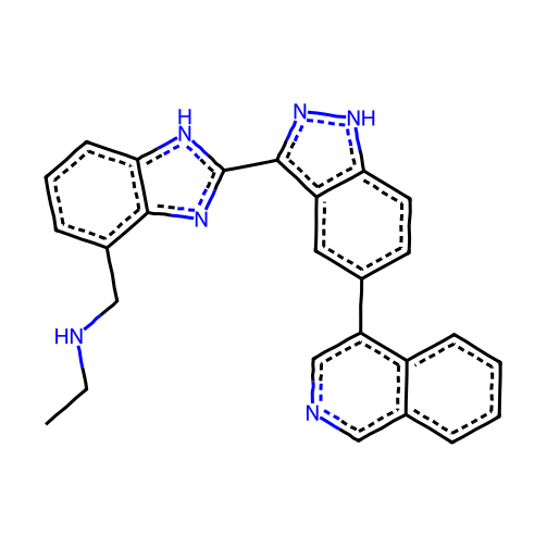 CCNCc1cccc2[nH]c(-c3n[nH]c4ccc(-c5cncc6ccccc56)cc34)nc12